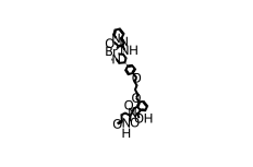 CN1C[C@H](Nc2nc3ccccn3c(=O)c2Br)C[C@H](c2ccc(OCCCCOc3cccc4c3C(=O)N(C3CCC(=O)NC3=O)C4O)cc2)C1